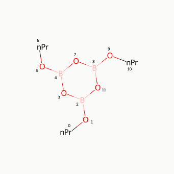 CCCOB1OB(OCCC)OB(OCCC)O1